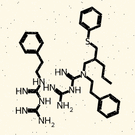 CCCC(CSc1ccccc1)CN(CCc1ccccc1)C(=N)NC(=N)N.N=C(N)NC(=N)NCCc1ccccc1